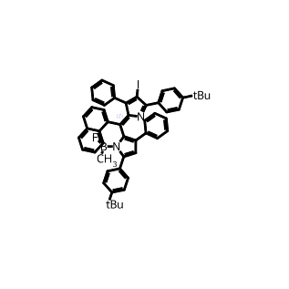 CB(F)n1c(-c2ccc(C(C)(C)C)cc2)cc(-c2ccccc2)c1/C(=C1\N=C(c2ccc(C(C)(C)C)cc2)C(I)=C1c1ccccc1)c1cccc2ccccc12